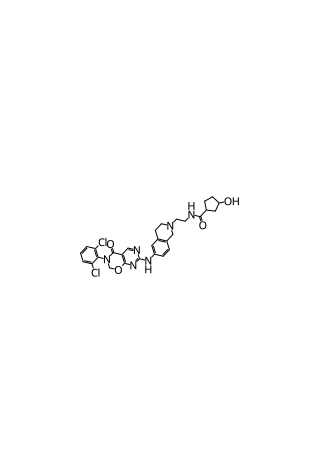 O=C(NCCN1CCc2cc(Nc3ncc4c(n3)OCN(c3c(Cl)cccc3Cl)C4=O)ccc2C1)C1CCC(O)C1